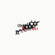 C=C1C=C[C@@]2(C)C(=C1)CC[C@@H]1[C@@H]2[C@@H](O)C[C@@]2(C)[C@H]1C[C@H]1O[C@@H](/C=C/C3CCC3)O[C@]12C(=O)CC(C)(C)C